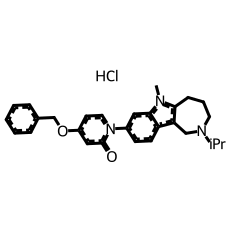 CC(C)N1CCCc2c(c3ccc(-n4ccc(OCc5ccccc5)cc4=O)cc3n2C)C1.Cl